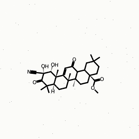 COC(=O)[C@]12CCC(C)(C)CC1C1C(=O)C=C3[C@@]4(C)[C@@H](O)[C@](O)(C#N)C(=O)C(C)(C)[C@@H]4CC[C@@]3(C)[C@]1(C)CC2